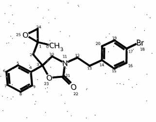 CC1(CC2(c3ccccc3)CN(CCc3ccc(Br)cc3)C(=O)O2)CO1